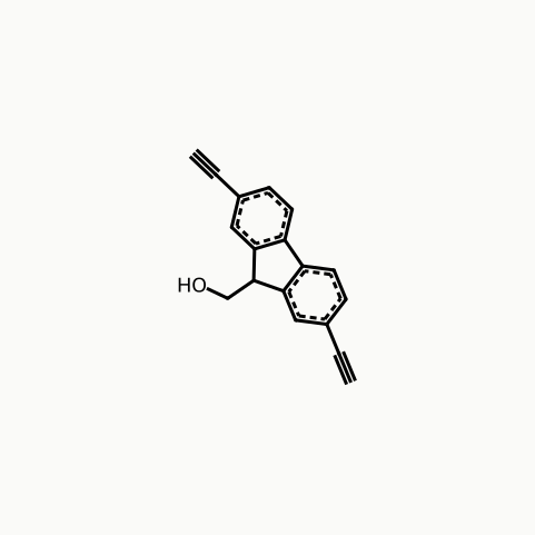 C#Cc1ccc2c(c1)C(CO)c1cc(C#C)ccc1-2